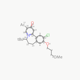 COCCCOc1cc2c(cc1Cl)-c1cc(=O)c(C(C)=O)cn1C(C(C)(C)C)CC2